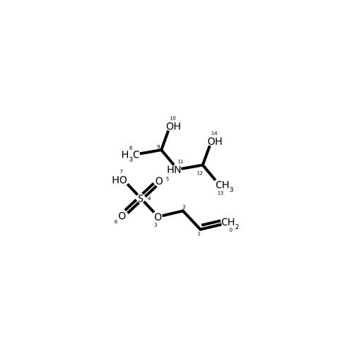 C=CCOS(=O)(=O)O.CC(O)NC(C)O